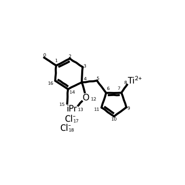 CC1=CCC(CC2=[C]([Ti+2])CC=C2)(OC(C)C)C(C)=C1.[Cl-].[Cl-]